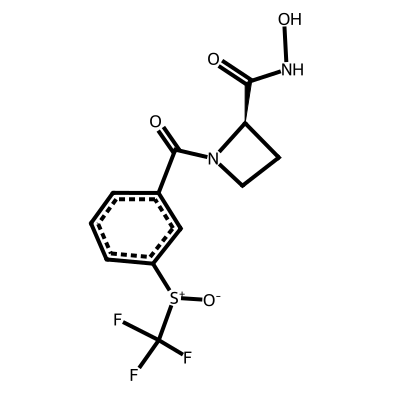 O=C(NO)[C@H]1CCN1C(=O)c1cccc([S+]([O-])C(F)(F)F)c1